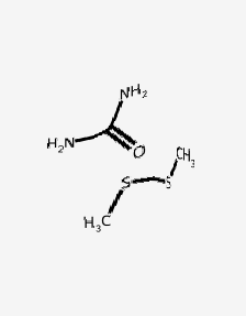 CSSC.NC(N)=O